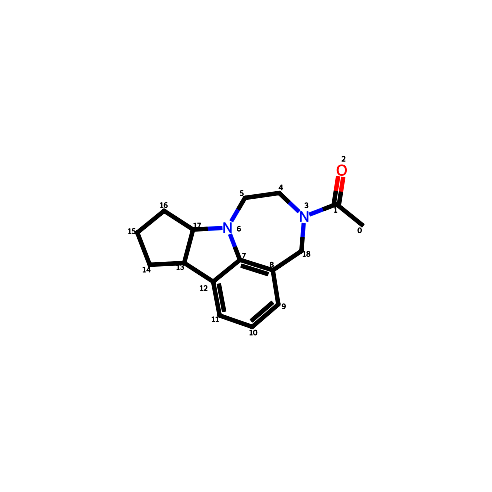 CC(=O)N1CCN2c3c(cccc3C3CCCC32)C1